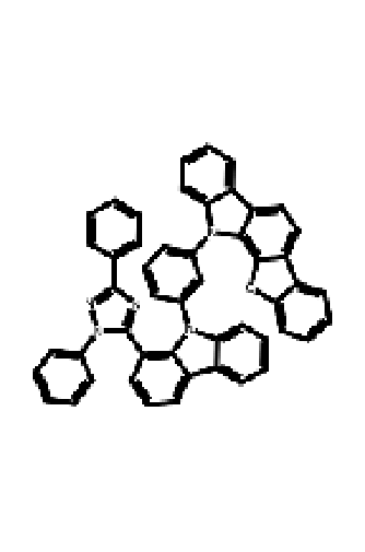 c1ccc(-c2nc(-c3cccc4c5ccccc5n(-c5cccc(-n6c7ccccc7c7ccc8c9ccccc9oc8c76)c5)c34)n(-c3ccccc3)n2)cc1